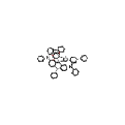 c1ccc(-c2cccc(N(c3ccccc3)c3ccc4c(c3)C3(c5cc(N(c6ccccc6)c6cccc(-c7ccccc7)c6)ccc5N4c4ccccc4)c4cccnc4-c4ncccc43)c2)cc1